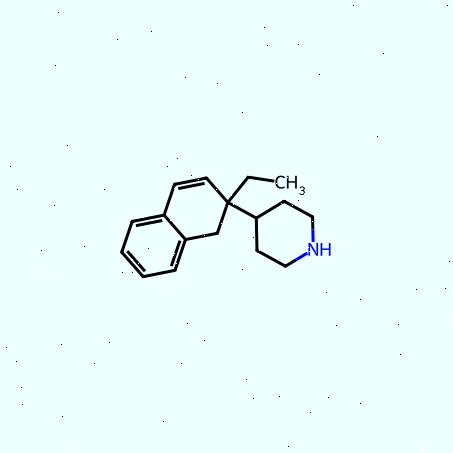 CCC1(C2CCNCC2)C=Cc2ccccc2C1